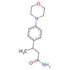 CC(CC(N)=O)c1ccc(N2CCOCC2)cc1